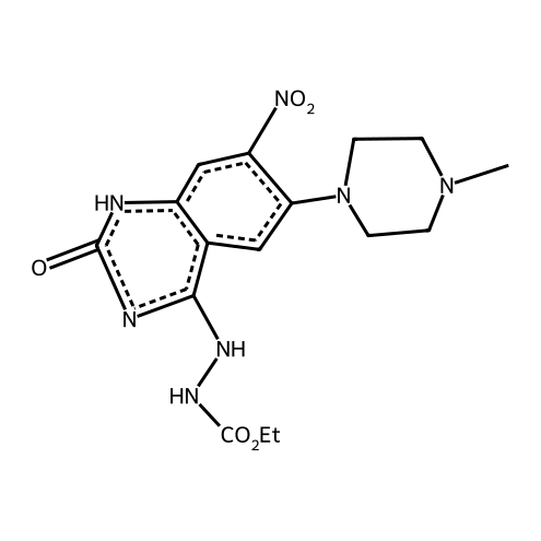 CCOC(=O)NNc1nc(=O)[nH]c2cc([N+](=O)[O-])c(N3CCN(C)CC3)cc12